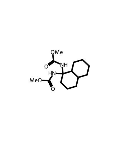 COC(=O)NC1(NC(=O)OC)CCCC2CCCCC21